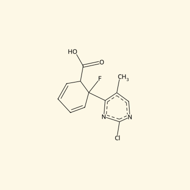 Cc1cnc(Cl)nc1C1(F)C=CC=CC1C(=O)O